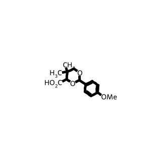 COc1ccc(C2OCC(C)(C)C(C(=O)O)O2)cc1